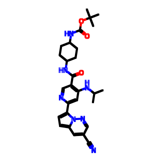 CC(C)Nc1cc(-c2ccc3cc(C#N)cnn23)ncc1C(=O)NC1CCC(NC(=O)OC(C)(C)C)CC1